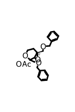 CC(=O)OC12CO[C@@](COCc3ccccc3)(CCO1)C2OCc1ccccc1